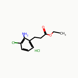 CCOC(=O)CCc1cccc(Cl)c1N.Cl